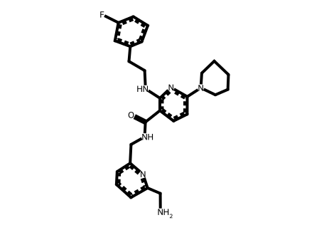 NCc1cccc(CNC(=O)c2ccc(N3CCCCC3)nc2NCCc2cccc(F)c2)n1